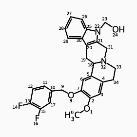 COc1cc2c(cc1OCc1ccc(F)c(F)c1)C1Cc3c(n(CO)c4ccccc34)CN1CC2